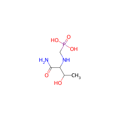 CC(O)C(NCP(=O)(O)O)C(N)=O